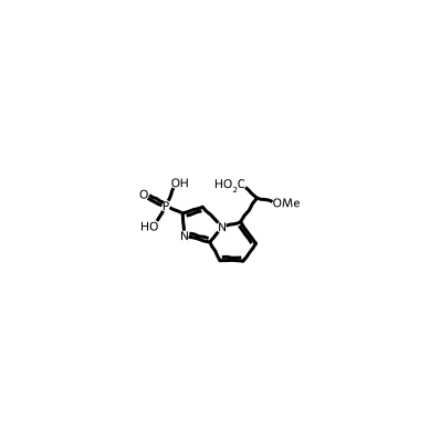 COC(C(=O)O)c1cccc2nc(P(=O)(O)O)cn12